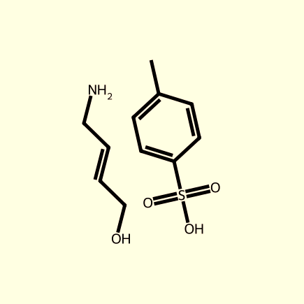 Cc1ccc(S(=O)(=O)O)cc1.NCC=CCO